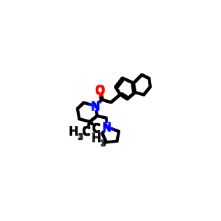 CC1(C)CCCN(C(=O)Cc2ccc3c(c2)CCCC3)C1CN1CCCC1